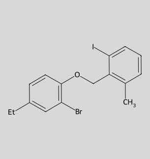 CCc1ccc(OCc2c(C)cccc2I)c(Br)c1